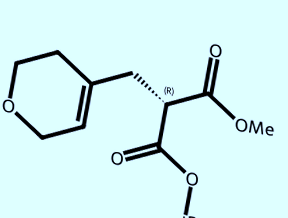 COC(=O)[C@@H](CC1=CCOCC1)C(=O)OC(C)(C)C